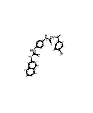 CC(NC(=S)Nc1ccc(NC(=O)Oc2cc3ccccc3cn2)cc1)c1ccc(Br)cc1